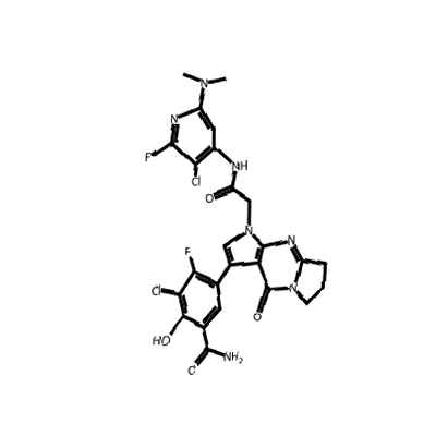 CN(C)c1cc(NC(=O)Cn2cc(-c3cc(C(N)=O)c(O)c(Cl)c3F)c3c(=O)n4c(nc32)CCC4)c(Cl)c(F)n1